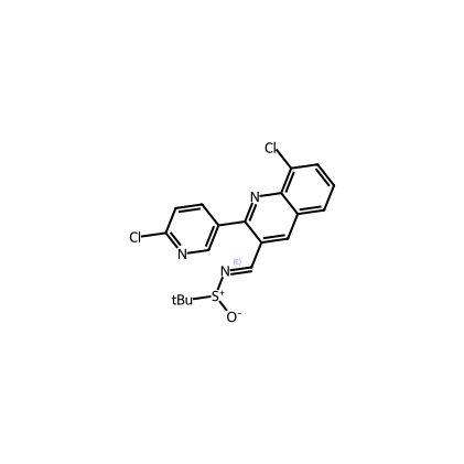 CC(C)(C)[S+]([O-])/N=C/c1cc2cccc(Cl)c2nc1-c1ccc(Cl)nc1